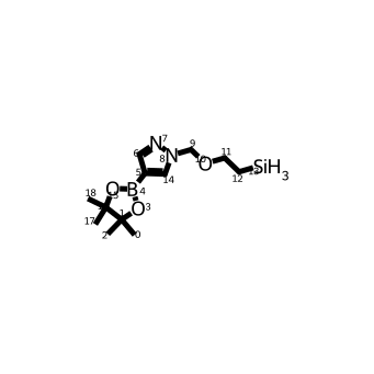 CC1(C)OB(c2cnn(COCC[SiH3])c2)OC1(C)C